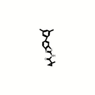 Cc1cc(C)cc(-c2ccc3nc(NC(=O)C4(C)CC4)sc3c2)c1